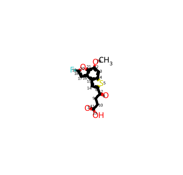 COc1cc2sc(C(=O)CCC(=O)O)cc2c2cc(F)oc12